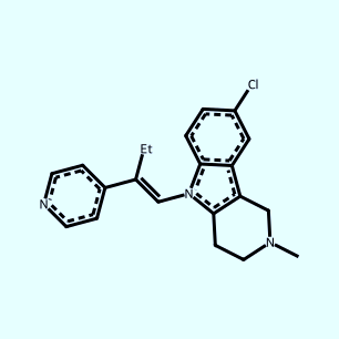 CCC(=Cn1c2c(c3cc(Cl)ccc31)CN(C)CC2)c1ccncc1